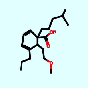 CCCC1=CC=CC(CCCC(C)C)(C(=O)O)C1CCOC